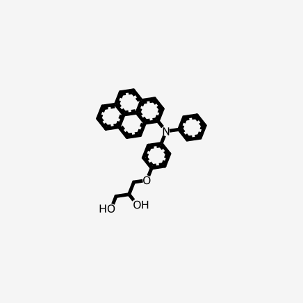 OCC(O)COc1ccc(N(c2ccccc2)c2ccc3ccc4cccc5ccc2c3c45)cc1